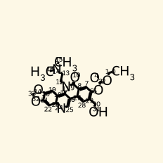 CCOC(=O)Oc1cc2c(=O)n(CCN(C)C)c3c4cc5c(cc4ncc3c2cc1CO)OCO5